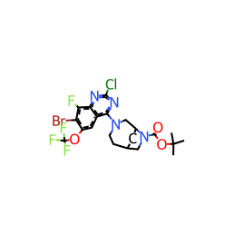 CC(C)(C)OC(=O)N1CC2CCN(c3nc(Cl)nc4c(F)c(Br)c(OC(F)(F)F)cc34)CC1C2